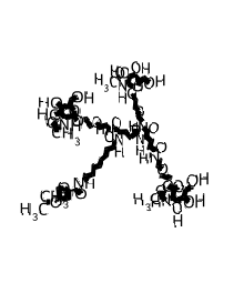 CC(=O)NC1C(OCCOCCNC(=O)CCC(NC(=O)CCC(NC(=O)CCCCCCCCCNC(=O)[C@H]2C[C@@H](OC(C)C)CO2)C(=O)NCCOCCOC2OC(CO)C(O)C(O)C2NC(C)=O)C(=O)NCCOCCOC2OC(CO)C(O)C(O)C2NC(C)=O)OC(CO)C(O)C1O